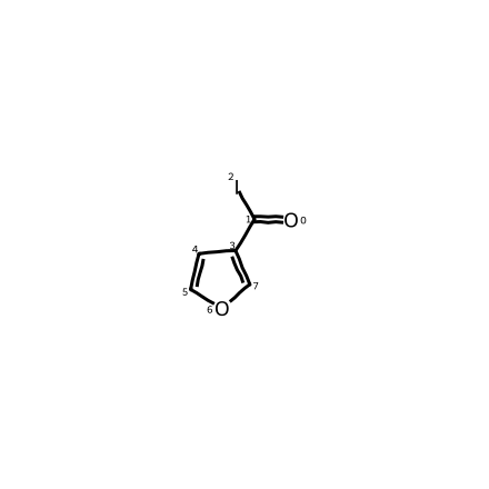 O=C(I)c1ccoc1